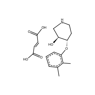 Cc1cccc(O[C@H]2CCNC[C@@H]2O)c1C.O=C(O)/C=C/C(=O)O